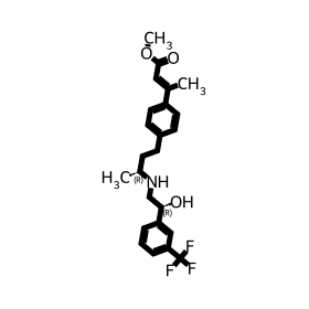 COC(=O)C=C(C)c1ccc(CC[C@@H](C)NC[C@H](O)c2cccc(C(F)(F)F)c2)cc1